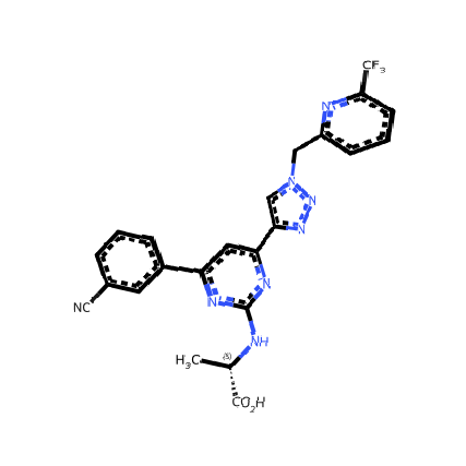 C[C@H](Nc1nc(-c2cccc(C#N)c2)cc(-c2cn(Cc3cccc(C(F)(F)F)n3)nn2)n1)C(=O)O